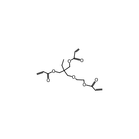 C=CC(=O)OCCOCC(CC)(COC(=O)C=C)COC(=O)C=C